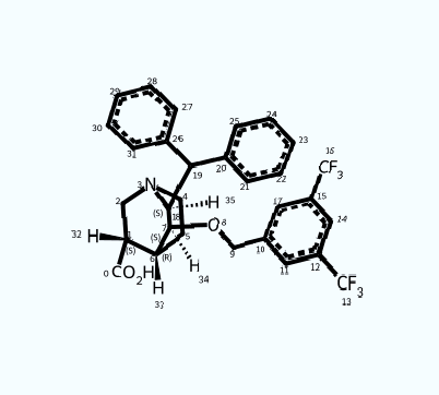 O=C(O)[C@@H]1CN2CC[C@H]1[C@H](OCc1cc(C(F)(F)F)cc(C(F)(F)F)c1)[C@@H]2C(c1ccccc1)c1ccccc1